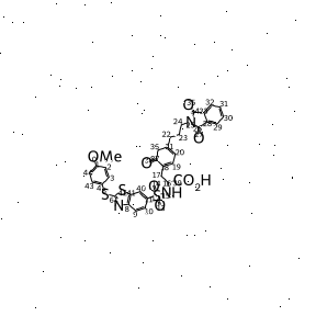 COc1ccc(Sc2nc3ccc(S(=O)(=O)N[C@H](CC4=CC=C(CCCN5C(=O)c6ccccc6C5=O)CC4=O)C(=O)O)cc3s2)cc1